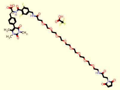 Cc1c(-c2ccc(C[C@H](NC(=O)c3c(F)cc(CNC(=O)CCOCCOCCOCCOCCOCCOCCOCCOCCNC(=O)CCN4C(=O)C=CC4=O)cc3F)C(=O)O)cc2)c(=O)n(C)c(=O)n1C.O=C(O)C(F)(F)F